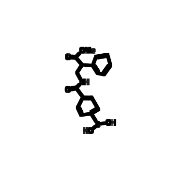 COC(=O)C(CNC(=O)c1ccc(B(O)O)cc1)c1ccccc1